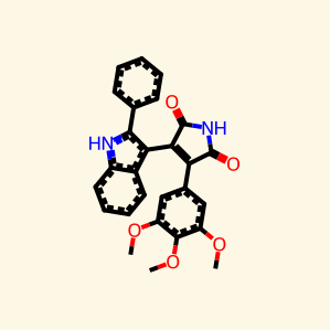 COc1cc(C2=C(c3c(-c4ccccc4)[nH]c4ccccc34)C(=O)NC2=O)cc(OC)c1OC